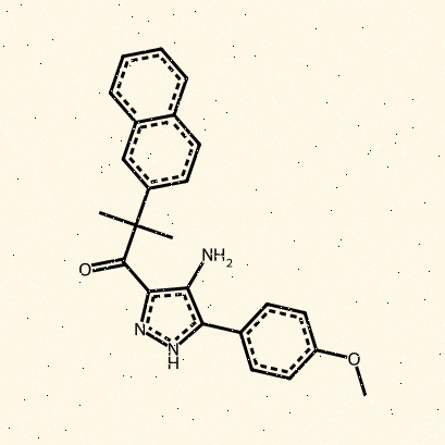 COc1ccc(-c2[nH]nc(C(=O)C(C)(C)c3ccc4ccccc4c3)c2N)cc1